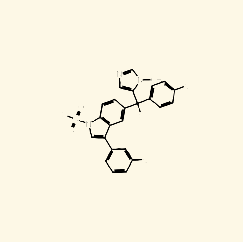 Cn1cncc1C(O)(c1ccc(Cl)cc1)c1ccc2c(c1)c(-c1cccc(Cl)c1)cn2S(C)(=O)=O